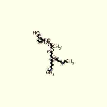 [CH2]C(COC(=O)CCC(OCCCC/C=C\CC)OCCCC/C=C\CC)COC(=O)OCC1CCCN(CCO)C1